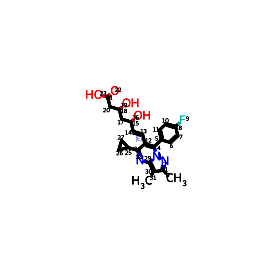 Cc1nn2c(-c3ccc(F)cc3)c(/C=C/C(O)CC(O)CC(=O)O)c(C3CC3)nc2c1C